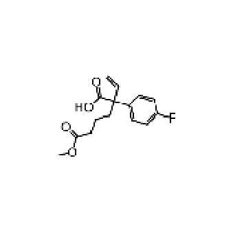 C=CC(CCCC(=O)OC)(C(=O)O)c1ccc(F)cc1